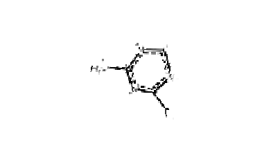 Cc1n[c]nc(F)n1